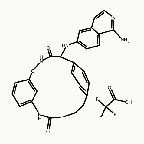 Nc1nccc2cc(NC3C(=O)NCc4cccc(c4)NC(=O)CCCc4ccc3cc4)ccc12.O=C(O)C(F)(F)F